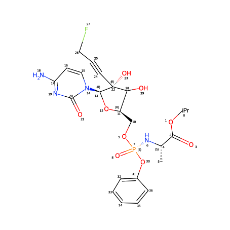 CC(C)OC(=O)[C@H](C)N[P@](=O)(OC[C@H]1O[C@@H](n2ccc(N)nc2=O)[C@@](O)(C#CCF)C1O)Oc1ccccc1